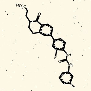 Cc1cccc(NC(=O)Nc2ccc(-c3ccc4c(c3)CCC(CCC(=O)O)C4=O)cc2F)c1